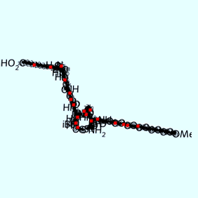 CC[C@H](C)[C@@H]1NC(=O)CCSSC[C@@H](C(N)=O)NC(=O)[C@@H](CCCCNC(=O)CCOCCOCCOCCOCCOCCOCCOCCOCCOCCOCCOCCOC)NC(=O)C[C@H](Cc2ccccc2)NC(=O)[C@H](CCCCNC(=O)COCCOCCNC(=O)COCCOCCNC(=O)[C@H](CN)NC(=O)CCCCCCCCCCCCCCCCC(=O)O)NC1=O